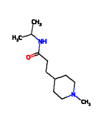 CC(C)NC(=O)CCC1CCN(C)CC1